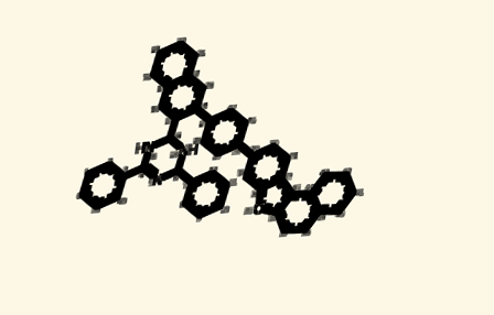 c1ccc(C2=NC(c3ccccc3)NC(c3cc4ccccc4cc3-c3ccc(-c4ccc5c(c4)oc4ccc6ccccc6c45)cc3)N2)cc1